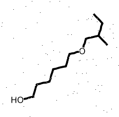 CCC(C)COCCCCCCO